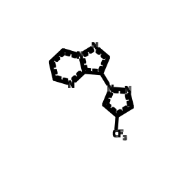 FC(F)(F)c1cnn(-c2cnn3cccnc23)c1